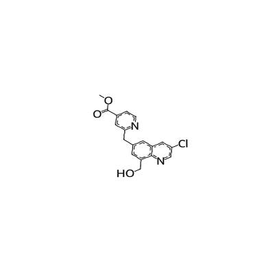 COC(=O)c1ccnc(Cc2cc(CO)c3ncc(Cl)cc3c2)c1